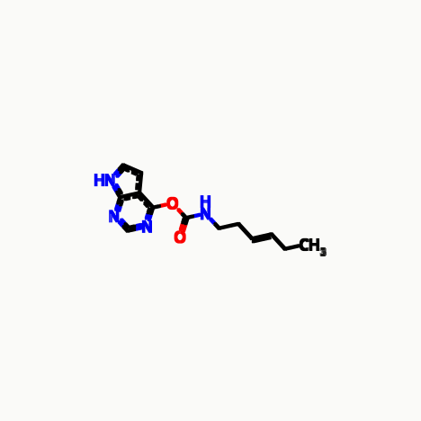 CCC=CCCNC(=O)Oc1ncnc2[nH]ccc12